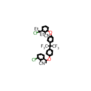 CCC(Cl)(CC)c1cccc(Oc2ccc(C(c3ccc(OC(C)c4cccc(Cl)c4C#N)cc3)(C(F)(F)F)C(F)(F)F)cc2)c1C#N